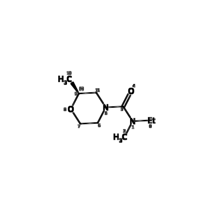 CCN(C)C(=O)N1CCO[C@@H](C)C1